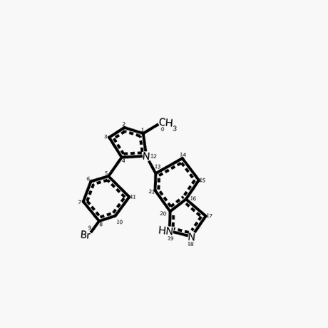 Cc1[c]cc(-c2ccc(Br)cc2)n1-c1ccc2cn[nH]c2c1